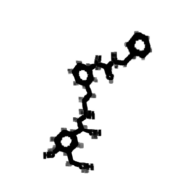 O=C(NCc1ccccc1)Nc1cccc(CCNC[C@@H](O)c2ccc(O)c(CO)c2)c1